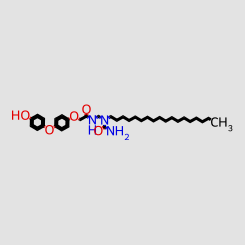 CCCCCCCCCCCCCCCCCCN(CNC(=O)COc1ccc(Oc2ccc(O)cc2)cc1)C(N)=O